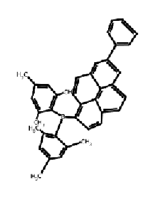 Cc1cc(C)c(B(c2c(C)cc(C)cc2C)c2ccc3ccc4cc(-c5ccccc5)cc5ccc2c3c45)c(C)c1